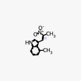 C/C(=C/c1c[nH]c2cccc(C)c12)[N+](=O)[O-]